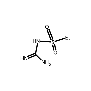 CCS(=O)(=O)NC(=N)N